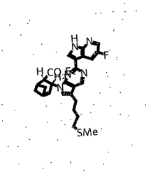 CCOC(=O)[C@@H]1C2CC(=C[C@H]1n1cc(CCCCSC)c3cnc(-c4c[nH]c5ncc(F)cc45)nc31)C2